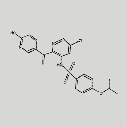 CC(C)Oc1ccc(S(=O)(=O)Nc2cc(Cl)cnc2C(=O)c2ccc(O)nc2)cc1